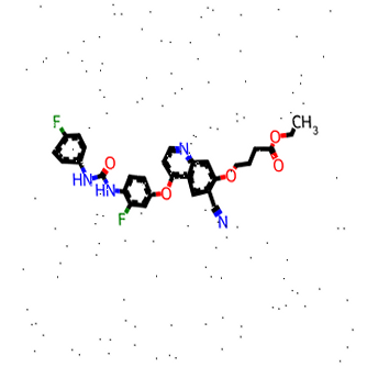 CCOC(=O)CCCOc1cc2nccc(Oc3ccc(NC(=O)Nc4ccc(F)cc4)c(F)c3)c2cc1C#N